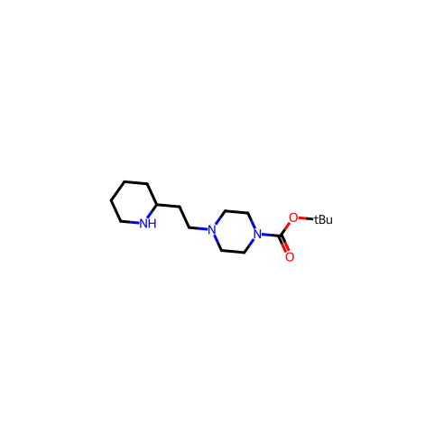 CC(C)(C)OC(=O)N1CCN(CCC2CCCCN2)CC1